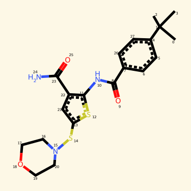 CC(C)(C)c1ccc(C(=O)Nc2sc(SN3CCOCC3)cc2C(N)=O)cc1